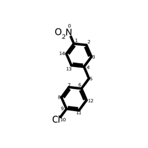 O=[N+]([O-])c1ccc(Cc2ccc(Cl)cc2)cc1